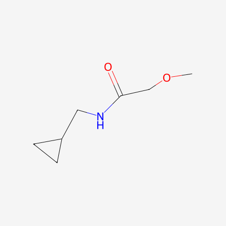 COCC(=O)NCC1CC1